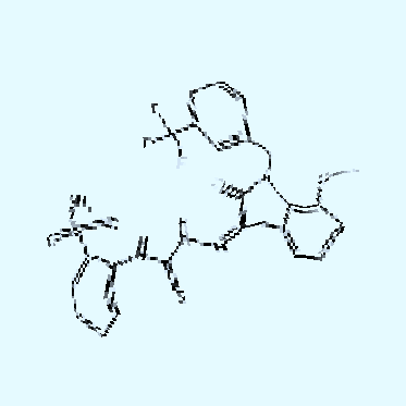 COc1cccc2c1N(Cc1cccc(C(F)(F)F)c1)C(=O)C2=NNC(=S)Nc1ccccc1S(N)(=O)=O